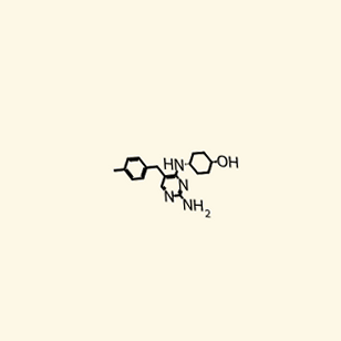 Cc1ccc(Cc2cnc(N)nc2N[C@H]2CC[C@H](O)CC2)cc1